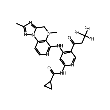 [2H]C([2H])([2H])CC(=O)c1cnc(NC(=O)C2CC2)cc1Nc1nccc2c1N(C)Cc1nc(C)nn1-2